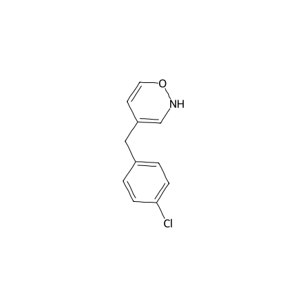 Clc1ccc(CC2=CNOC=C2)cc1